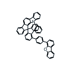 c1ccc(-n2c3ccccc3c3ccc4c(c32)C2(c3ccccc3-4)c3ccccc3-c3c(-c4ccc(-c5cccc6c5oc5ccccc56)cc4)cccc32)cc1